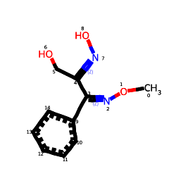 CO/N=C(\C(CO)=N\O)c1ccccc1